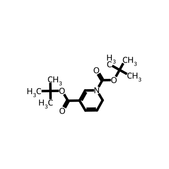 CC(C)(C)OC(=O)C1=CN(C(=O)OC(C)(C)C)CC=C1